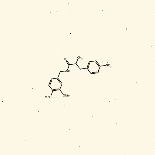 COc1ccc(CNC(=O)C(C)Sc2ccc([N+](=O)[O-])cc2)cc1OC